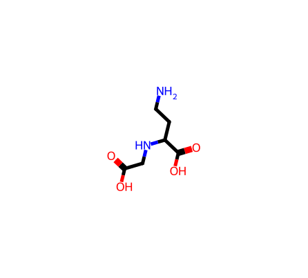 NCCC(NCC(=O)O)C(=O)O